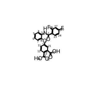 O=C(Nc1ccccc1Oc1ccc(C(=O)O)c(C(=O)O)c1)c1ccc(F)cc1F